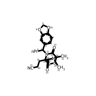 CCCC(c1ccc2c(c1)OCO2)N1C(=O)C2(C)SSC1(CCC#N)C(=O)N2C